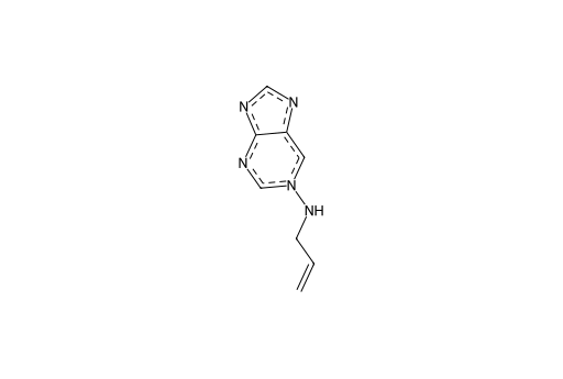 C=CCNn1cnc2ncnc-2c1